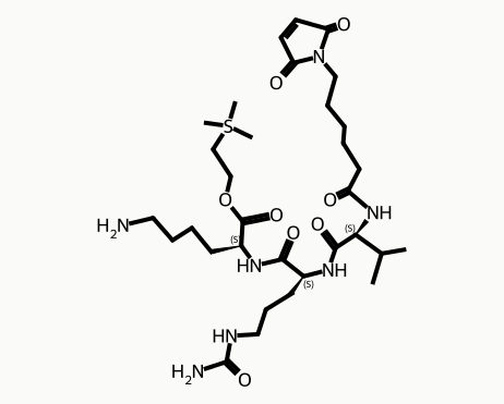 CC(C)[C@H](NC(=O)CCCCCN1C(=O)C=CC1=O)C(=O)N[C@@H](CCCNC(N)=O)C(=O)N[C@@H](CCCCN)C(=O)OCCS(C)(C)C